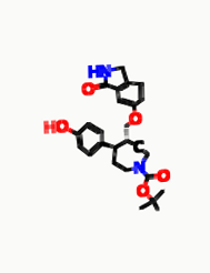 CC(C)(C)OC(=O)N1CC[C@@H](COc2ccc3c(c2)C(=O)NC3)[C@H](c2ccc(O)cc2)CC1